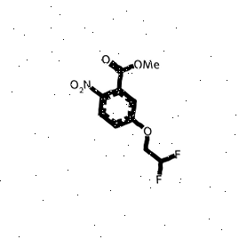 COC(=O)c1cc(OCC(F)F)ccc1[N+](=O)[O-]